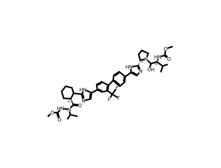 COC(=O)N[C@@H](C(C)C)C(O)N1CCC[C@H]1c1ncc(-c2ccc(-c3ccc(-c4cnc(C5CCCC[C@@H]5C(=O)N(NC(=O)OC)C(C)C)[nH]4)cc3C(F)(F)F)cc2)[nH]1